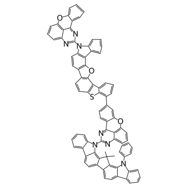 CC1(C)c2c(ccc3c4ccccc4n(-c4ccccc4)c23)-c2ccc3c4ccccc4n(-c4nc5c6c(cccc6n4)Oc4cc(-c6cccc7c6sc6ccc8c9ccc%10c(c%11ccccc%11n%10-c%10nc%11c%12c(cccc%12n%10)Oc%10ccccc%10-%11)c9oc8c67)ccc4-5)c3c21